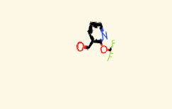 O=Cc1cccnc1OC(F)F